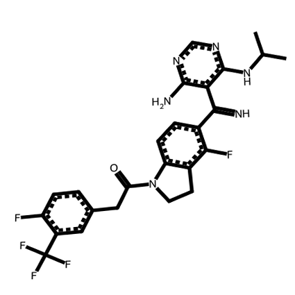 CC(C)Nc1ncnc(N)c1C(=N)c1ccc2c(c1F)CCN2C(=O)Cc1ccc(F)c(C(F)(F)F)c1